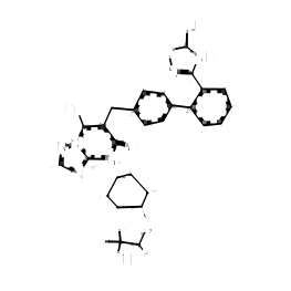 CCCc1c(Cc2ccc(-c3ccccc3C3=NOC(O)N3)cc2)c(=O)n([C@H]2CC[C@H](OC(C)C(C)(C)O)CC2)c2ncnn12